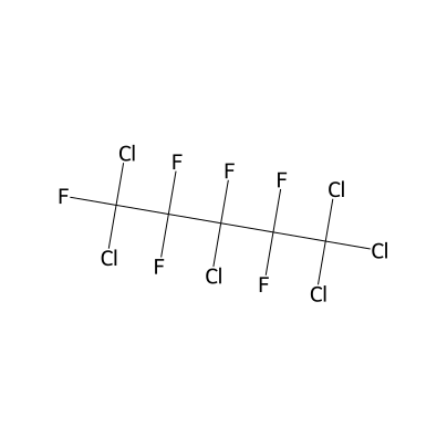 FC(Cl)(Cl)C(F)(F)C(F)(Cl)C(F)(F)C(Cl)(Cl)Cl